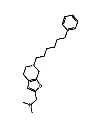 CN(C)Cc1cc2c(o1)CN(CCCCCCc1ccccc1)CC2